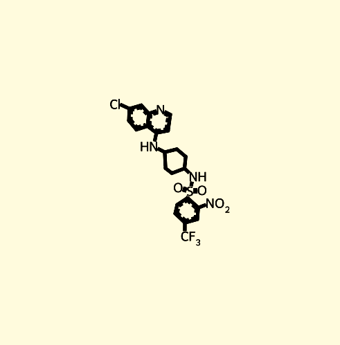 O=[N+]([O-])c1cc(C(F)(F)F)ccc1S(=O)(=O)NC1CCC(Nc2ccnc3cc(Cl)ccc23)CC1